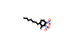 CCCCCCCc1[c]cc([N+](=O)[O-])c([N+](=O)[O-])c1C